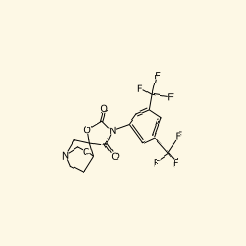 O=C1OC2(CN3CCC2CC3)C(=O)N1c1cc(C(F)(F)F)cc(C(F)(F)F)c1